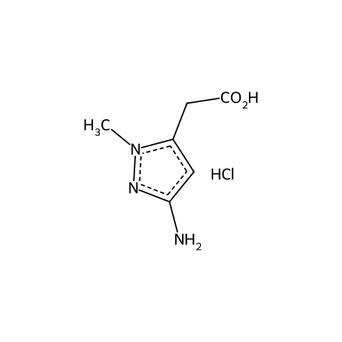 Cl.Cn1nc(N)cc1CC(=O)O